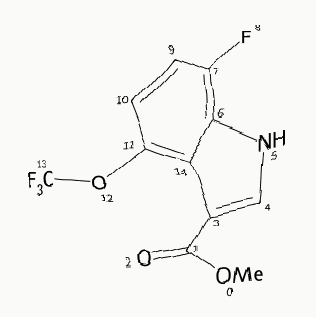 COC(=O)c1c[nH]c2c(F)ccc(OC(F)(F)F)c12